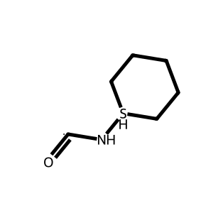 O=[C]N[SH]1CCCCC1